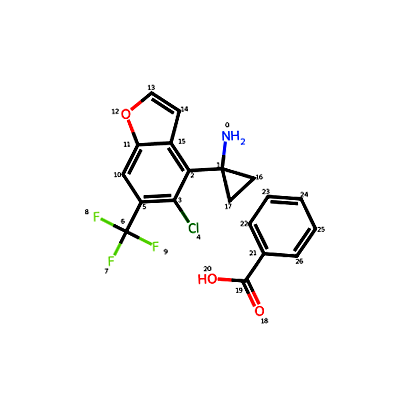 NC1(c2c(Cl)c(C(F)(F)F)cc3occc23)CC1.O=C(O)c1ccccc1